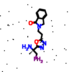 C[C@@](N)(CP)c1nnc(CCN2Cc3ccccc3C2=O)o1